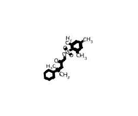 Cc1cc(C)c(S(=O)(=O)OCC(=O)CC(C)(C)C2CCCCC2)c(C)c1